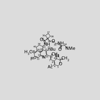 C=C1OCC(C(C)=O)=C(/C=C(\C)c2nc3cc(F)c(C)c4c3c(c2CCCC)C(NC(=O)C2(COCNC(=O)CNC)CCC2)CC4)C1CC